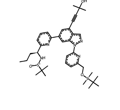 CCC[C@H](N[S+]([O-])C(C)(C)C)c1cccc(-c2cc(C#CC(C)(C)O)c3cnn(-c4cccc(CO[Si](C)(C)C(C)(C)C)n4)c3c2)n1